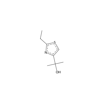 CCc1nc(C(C)(C)O)cs1